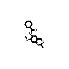 COc1cc2nc(C)ncc2cc1OC(=O)C1CCCCC1